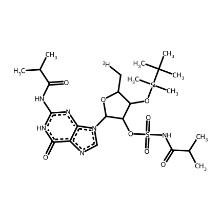 [2H]CC1OC(n2cnc3c(=O)[nH]c(NC(=O)C(C)C)nc32)C(OS(=O)(=O)NC(=O)C(C)C)C1O[Si](C)(C)C(C)(C)C